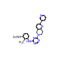 CC(=O)Nc1cccc(Nc2ncnc(N3CCc4nc(-c5cccnc5)ccc4C3)n2)c1C